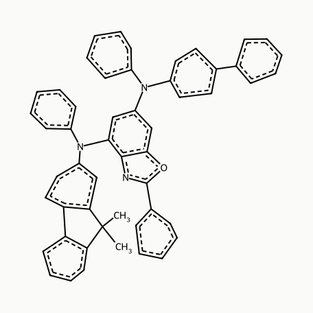 CC1(C)c2ccccc2-c2ccc(N(c3ccccc3)c3cc(N(c4ccccc4)c4ccc(-c5ccccc5)cc4)cc4oc(-c5ccccc5)nc34)cc21